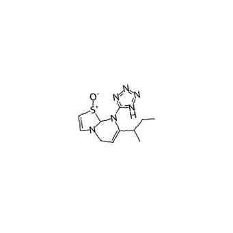 CCC(C)C1=CCN2C=C[S+]([O-])C2N1c1nnn[nH]1